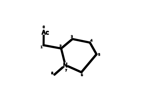 CC(=O)CC1CCCCN1C